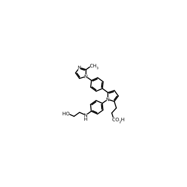 Cc1nccn1-c1ccc(-c2ccc(CCC(=O)O)n2-c2ccc(NCCO)cc2)cc1